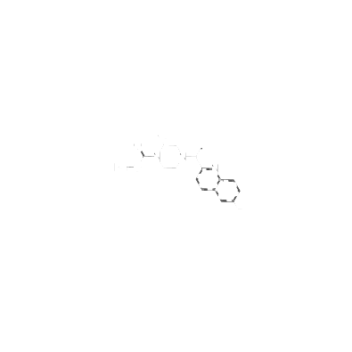 CC(C)C(c1ccc2cc(F)ccc2n1)N1C[C@H](C)N(C(=O)OC(C)(C)C)C[C@H]1C